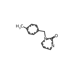 Cc1ccc(Cn2cccnc2=O)cc1